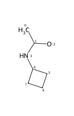 CC([O])NC1CCC1